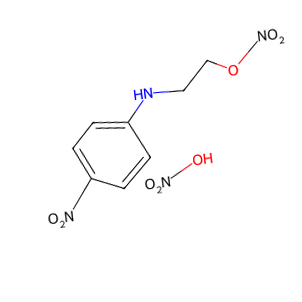 O=[N+]([O-])O.O=[N+]([O-])OCCNc1ccc([N+](=O)[O-])cc1